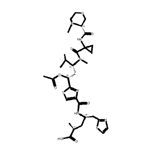 CC(=O)O[C@H](C[C@H](C(C)C)N(C)C(=O)C1(NC(=O)[C@H]2COCCN2C)CC1)c1nc(C(=O)N[C@@H](Cc2nccs2)C[C@H](C)C(=O)O)cs1